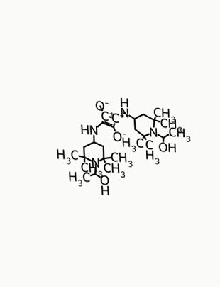 CC(O)N1C(C)(C)CC(Nc2c([O-])[c+](NC3CC(C)(C)N(C(C)O)C(C)(C)C3)[c+]2[O-])CC1(C)C